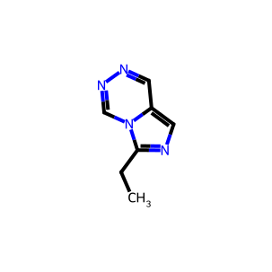 CCc1ncc2cnncn12